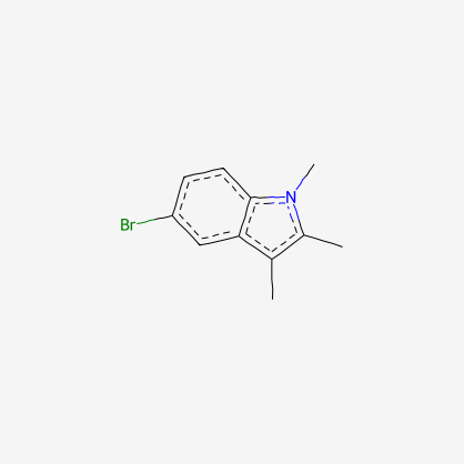 Cc1c(C)n(C)c2ccc(Br)cc12